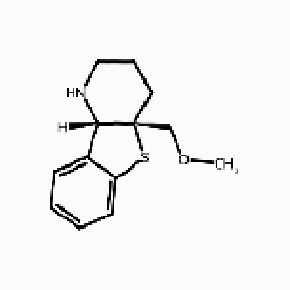 COC[C@]12CCCN[C@H]1c1ccccc1S2